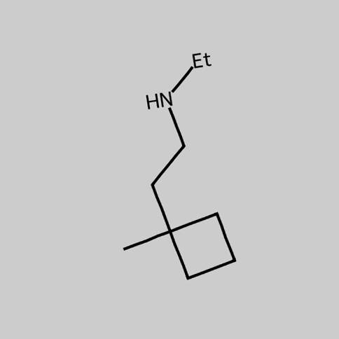 CCNCCC1(C)CCC1